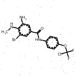 CNc1c(N)cc(C(=O)Nc2ccc(OC(F)(F)Cl)cc2)cc1Br